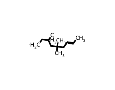 [CH2]CC(C)CC(C)(C)CC=CC